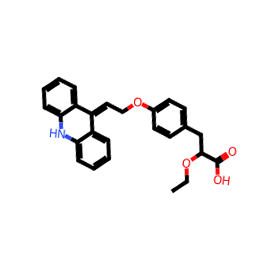 CCOC(Cc1ccc(OCC=C2c3ccccc3Nc3ccccc32)cc1)C(=O)O